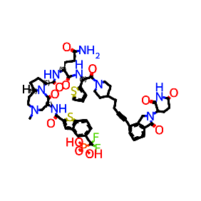 CN1CC[C@H]2CC[C@@H](C(=O)N[C@@H](CCC(N)=O)C(=O)N[C@H](C(=O)N3CCC(CCC#Cc4cccc5c4CN(C4CCC(=O)NC4=O)C5=O)CC3)c3cccs3)N2C(=O)[C@@H](NC(=O)c2cc3cc(C(F)(F)P(=O)(O)O)ccc3s2)C1